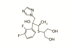 C[C@@H](SC(CO)CO)[C@](O)(Cn1cncn1)c1cccc(F)c1F